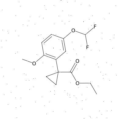 CCOC(=O)C1(c2cc(OC(F)F)ccc2OC)CC1